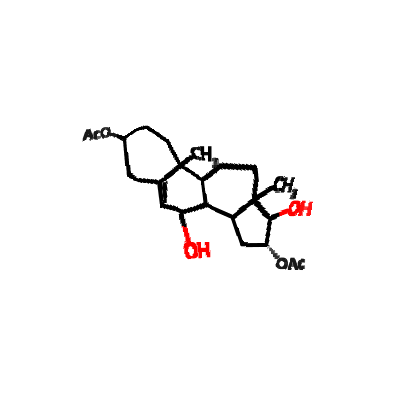 CC(=O)OC1CCC2(C)C(=CC(O)C3C2CCC2(C)C3C[C@@H](OC(C)=O)C2O)C1